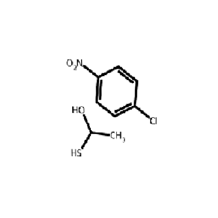 CC(O)S.O=[N+]([O-])c1ccc(Cl)cc1